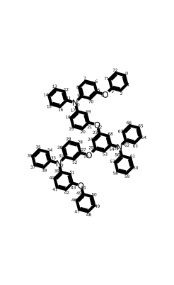 c1ccc(Oc2cccc(N(c3ccccc3)c3cccc(Oc4cc(Oc5cccc(N(c6ccccc6)c6cccc(Oc7ccccc7)c6)c5)cc(N(c5ccccc5)c5ccccc5)c4)c3)c2)cc1